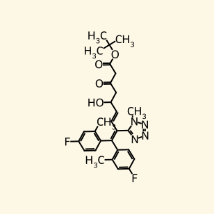 Cc1cc(F)ccc1C(=C(C=CC(O)CC(=O)CC(=O)OC(C)(C)C)c1nnnn1C)c1ccc(F)cc1C